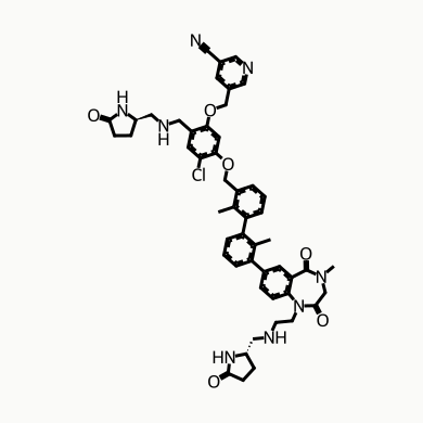 Cc1c(COc2cc(OCc3cncc(C#N)c3)c(CNC[C@H]3CCC(=O)N3)cc2Cl)cccc1-c1cccc(-c2ccc3c(c2)C(=O)N(C)CC(=O)N3CCNC[C@@H]2CCC(=O)N2)c1C